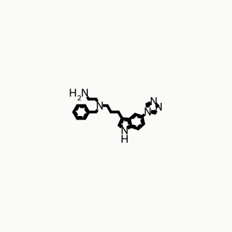 NCCN(CCCc1c[nH]c2ccc(-n3cnnc3)cc12)Cc1ccccc1